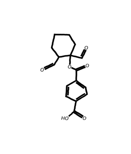 O=CC1CCCCC1(C=O)OC(=O)c1ccc(C(=O)O)cc1